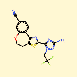 N#Cc1ccc2c(c1)OCCc1sc(-c3nc(N)nn3CC(F)(F)F)nc1-2